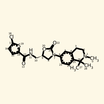 CN1CCc2cc(N3C[C@H](CNC(=O)c4ccc(Cl)s4)OC3=O)ccc2C1(C)C